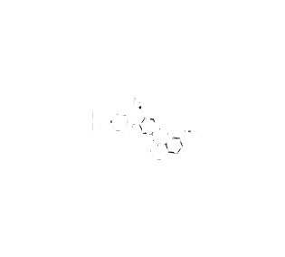 CC1(O)CCN(c2cc(N3CCCc4ccc(C=O)nc43)ncc2C#N)CC1